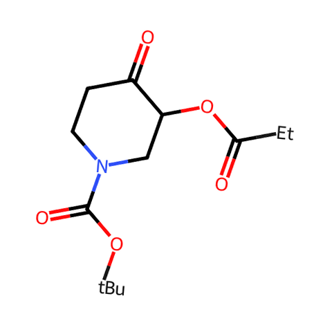 CCC(=O)OC1CN(C(=O)OC(C)(C)C)CCC1=O